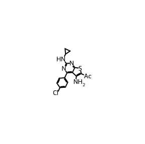 CC(=O)c1sc2nc(NC3CC3)nc(-c3ccc(Cl)cc3)c2c1N